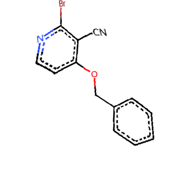 N#Cc1c(OCc2ccccc2)ccnc1Br